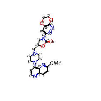 COc1ccc2nccc(N3CCN(C[C@H]4CN(c5cc6c(nn5)OCCO6)C(=O)O4)CC3)c2n1